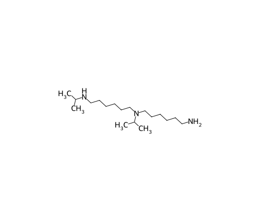 CC(C)NCCCCCCN(CCCCCCN)C(C)C